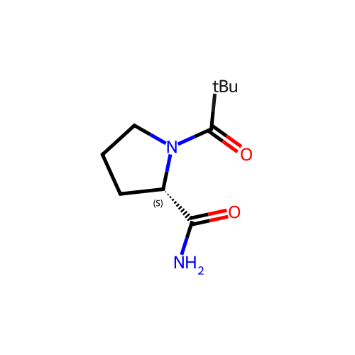 CC(C)(C)C(=O)N1CCC[C@H]1C(N)=O